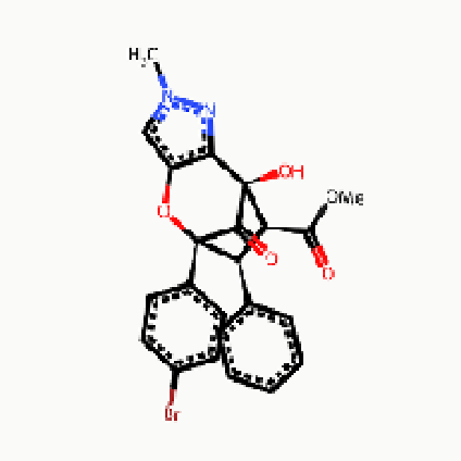 COC(=O)[C@H]1[C@@H](c2ccccc2)[C@]2(c3ccc(Br)cc3)Oc3cn(C)nc3[C@@]1(O)C2=O